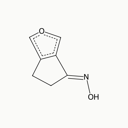 ON=C1CCc2cocc21